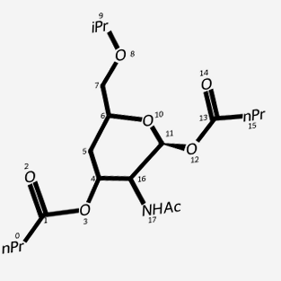 CCCC(=O)OC1CC(COC(C)C)O[C@@H](OC(=O)CCC)C1NC(C)=O